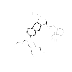 CCC[CH2][Sn]([CH2]CCC)([CH2]CCC)[c]1ccc2cc(OC)c(C(=O)NCC3CCCN3CC)cc2c1